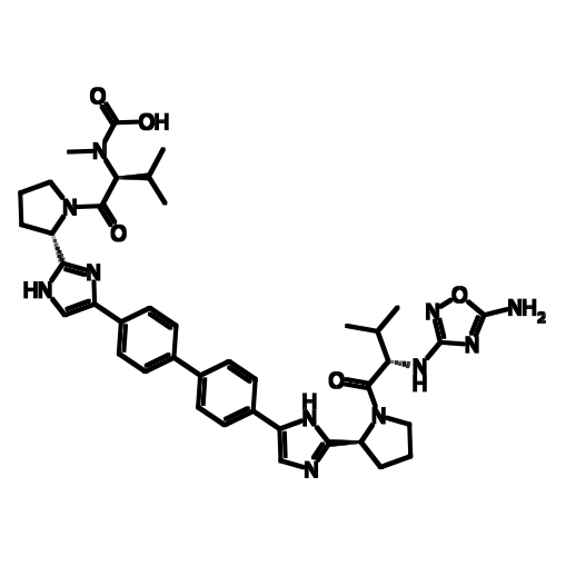 CC(C)[C@H](Nc1noc(N)n1)C(=O)N1CCC[C@H]1c1ncc(-c2ccc(-c3ccc(-c4c[nH]c([C@@H]5CCCN5C(=O)[C@H](C(C)C)N(C)C(=O)O)n4)cc3)cc2)[nH]1